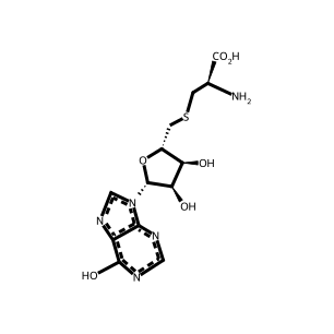 N[C@@H](CSC[C@H]1O[C@@H](n2cnc3c(O)ncnc32)[C@H](O)[C@@H]1O)C(=O)O